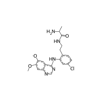 COc1cc2ncnc(Nc3cc(Cl)ccc3CCNC(=O)C(C)N)c2cc1[O]